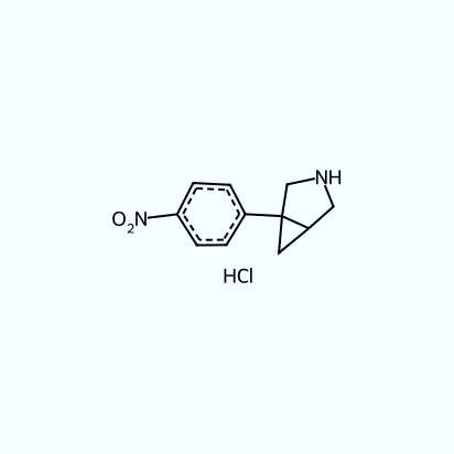 Cl.O=[N+]([O-])c1ccc(C23CNCC2C3)cc1